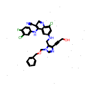 N#Cc1cnc2c(Cl)cc(NCc3c(C#CCO)ncn3COCc3ccccc3)cc2c1Nc1ccc(F)c(Cl)c1